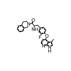 Cc1c[nH]c2nccc(Oc3ccc(CC(N)C(=O)N4CCc5ccccc5C4)cc3F)c12